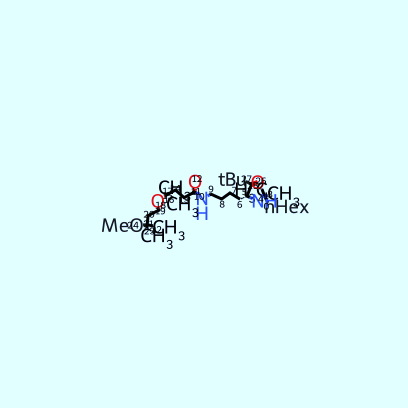 CCCCCCC(C)(C)N[C@H](CCCCNC(=O)CCC(C)(C)OCCC(C)(C)OC)C(=O)C(C)(C)C